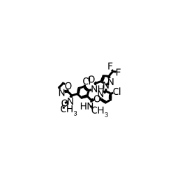 CNC(=O)c1cc(C(=NOC)C2=NCCO2)cc(Cl)c1NC(=O)c1cc(C(F)F)nn1-c1ncccc1Cl